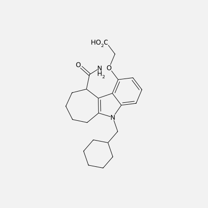 NC(=O)C1CCCCc2c1c1c(OCC(=O)O)cccc1n2CC1CCCCC1